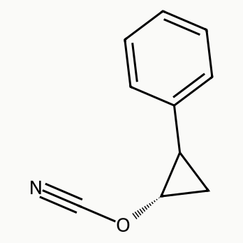 N#CO[C@H]1CC1c1ccccc1